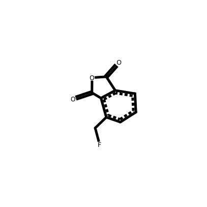 O=C1OC(=O)c2c(CF)cccc21